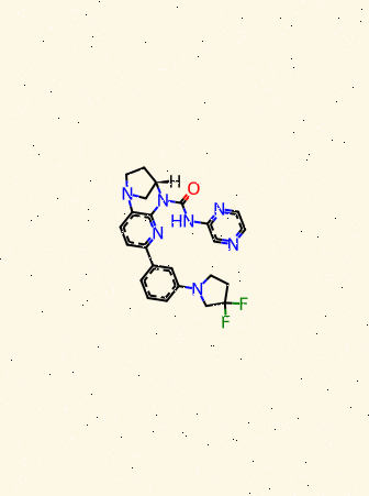 O=C(Nc1cnccn1)N1c2nc(-c3cccc(N4CCC(F)(F)C4)c3)ccc2N2CC[C@H]1C2